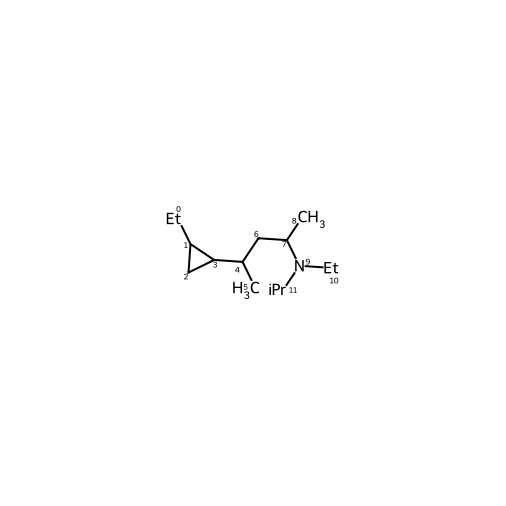 CCC1CC1C(C)CC(C)N(CC)C(C)C